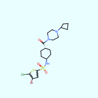 O=C([C@H]1CC[C@H](NS(=O)(=O)c2cc(Br)c(Cl)s2)CC1)N1CCN(C2CCC2)CC1